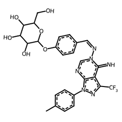 Cc1ccc(-n2nc(C(F)(F)F)c3c(=N)n(/N=C\c4ccc(OC5OC(CO)C(O)C(O)C5O)cc4)cnc32)cc1